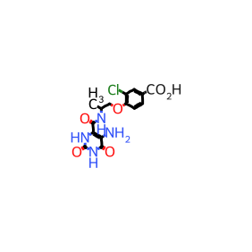 CC(COc1ccc(C(=O)O)cc1Cl)NC(=O)c1[nH]c(=O)[nH]c(=O)c1N